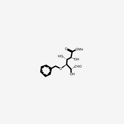 COC(=O)[C@H](O)[C@@H](O)[C@H](OCc1ccccc1)[C@@H](O)C=O